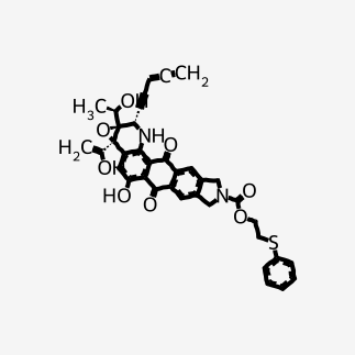 C=C=CC#C[C@@H]1Nc2c(cc(O)c3c2C(=O)c2cc4c(cc2C3=O)CN(C(=O)OCCSc2ccccc2)C4)[C@@]2(C(=C)O)O[C@@]12[C@@H](C)O